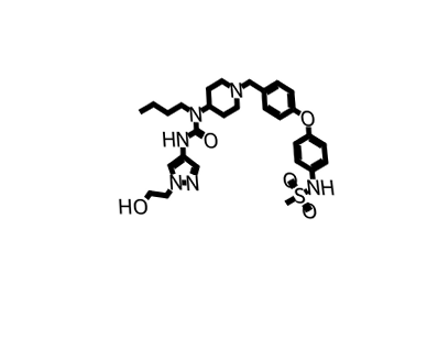 CCCCN(C(=O)Nc1cnn(CCO)c1)C1CCN(Cc2ccc(Oc3ccc(NS(C)(=O)=O)cc3)cc2)CC1